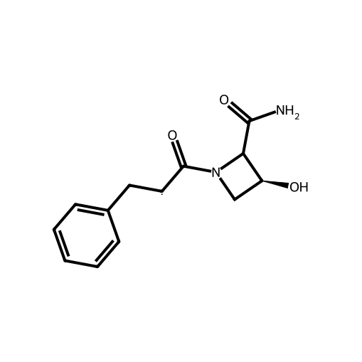 NC(=O)C1[C@@H](O)CN1C(=O)[CH]Cc1ccccc1